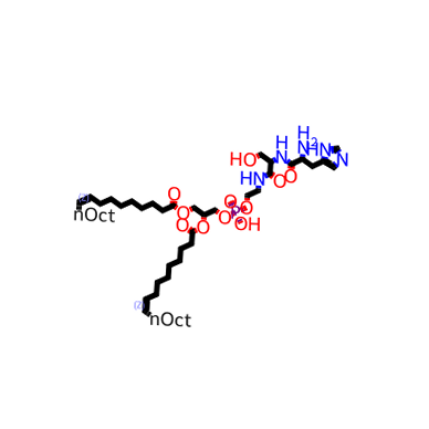 CCCCCCCC/C=C\CCCCCCCC(=O)OCC(COP(=O)(O)OCCNC(=O)C(CO)NC(=O)C(N)Cc1cnc[nH]1)OC(=O)CCCCCCC/C=C\CCCCCCCC